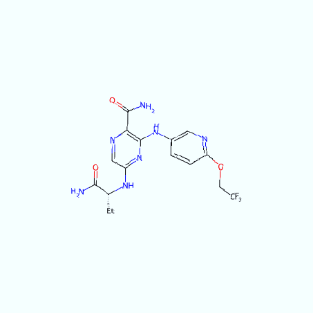 CC[C@@H](Nc1cnc(C(N)=O)c(Nc2ccc(OCC(F)(F)F)nc2)n1)C(N)=O